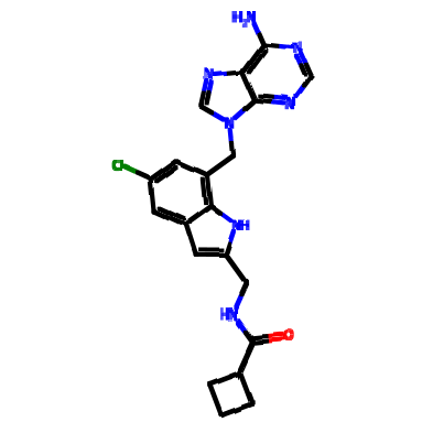 Nc1ncnc2c1ncn2Cc1cc(Cl)cc2cc(CNC(=O)C3CCC3)[nH]c12